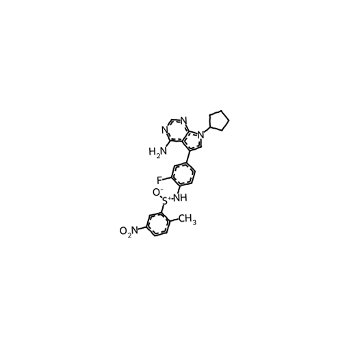 Cc1ccc([N+](=O)[O-])cc1[S+]([O-])Nc1ccc(-c2cn(C3CCCC3)c3ncnc(N)c23)cc1F